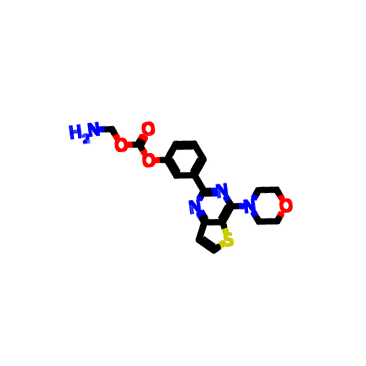 NCOC(=O)Oc1cccc(-c2nc(N3CCOCC3)c3sccc3n2)c1